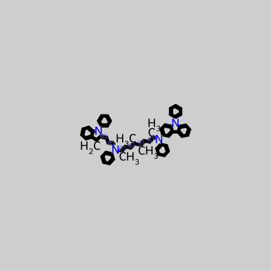 C=c1/c(=C\C=C\N(/C(C)=C/C=C(C)/C(C)=C/C=C(\C)N(C2=CCCC=C2)c2ccc3c(c2)c2ccccc2n3-c2ccccc2)c2ccccc2)n(-c2ccccc2)c2ccccc12